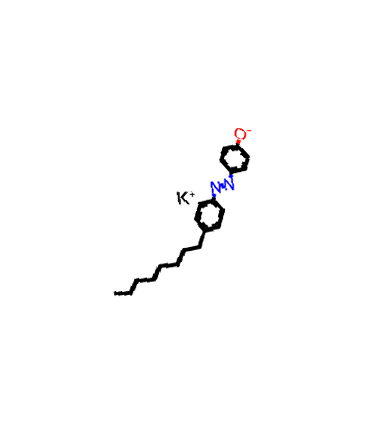 CCCCCCCCc1ccc(N=Nc2ccc([O-])cc2)cc1.[K+]